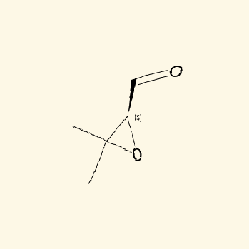 CC1(C)O[C@@H]1C=O